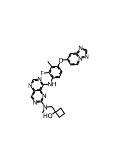 Cc1c(Oc2ccn3ncnc3c2)ccc(Nc2ncnc3cnc(N(C)CC4(O)CCC4)nc23)c1F